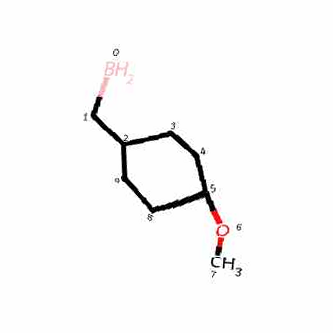 BCC1CCC(OC)CC1